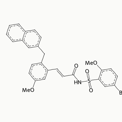 COc1ccc(Cc2ccc3ccccc3c2)c(C=CC(=O)NS(=O)(=O)c2cc(Br)ccc2OC)c1